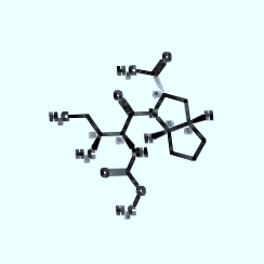 CC[C@H](C)[C@H](NC(=O)OC)C(=O)N1[C@H](C(C)=O)C[C@@H]2CCC[C@@H]21